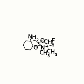 CN(C(C)(C)CF)S(=O)(=O)CC1(N)CCCCC1